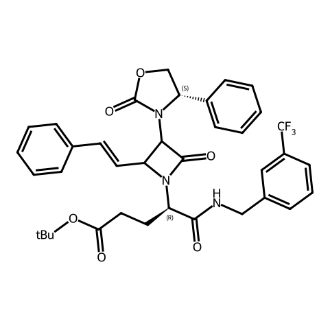 CC(C)(C)OC(=O)CC[C@H](C(=O)NCc1cccc(C(F)(F)F)c1)N1C(=O)C(N2C(=O)OC[C@@H]2c2ccccc2)C1C=Cc1ccccc1